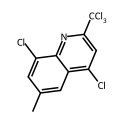 Cc1cc(Cl)c2nc(C(Cl)(Cl)Cl)cc(Cl)c2c1